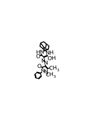 Cc1c(/N=N/C2=C(O)NC3(NC2=O)C2CC4CC(C2)CC3C4)c(=O)n(-c2ccccc2)n1C